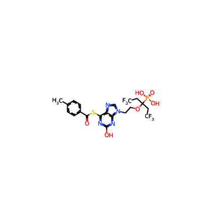 Cc1ccc(C(=O)Sc2nc(O)nc3c2ncn3CCOC(CC(F)(F)F)(CC(F)(F)F)P(=O)(O)O)cc1